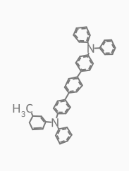 CC1C=C(N(c2ccccc2)c2ccc(-c3ccc(-c4ccc(N(c5ccccc5)c5ccccc5)cc4)cc3)cc2)C=CC1